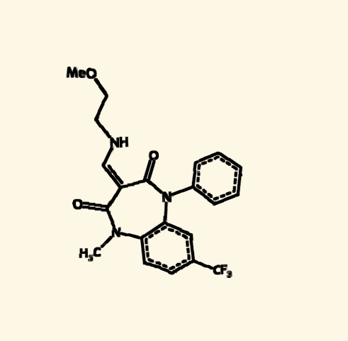 COCCN/C=C1/C(=O)N(C)c2ccc(C(F)(F)F)cc2N(c2ccccc2)C1=O